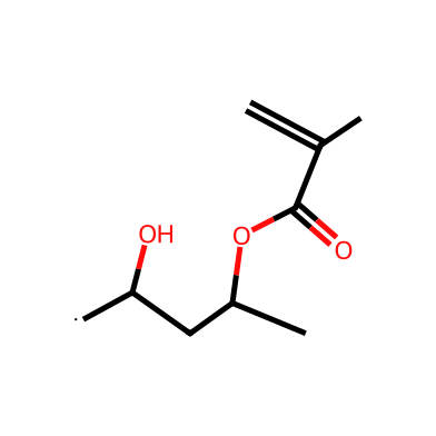 [CH2]C(O)CC(C)OC(=O)C(=C)C